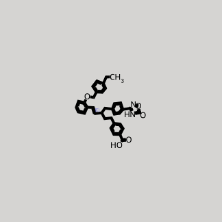 CCc1ccc(COc2ccccc2/C=C/C(CCc2ccc(C(=O)O)cc2)Cc2ccc(-c3noc(=O)[nH]3)cc2)cc1